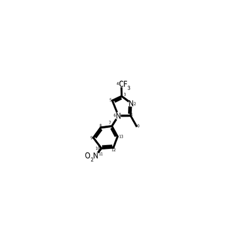 Cc1nc(C(F)(F)F)cn1-c1ccc([N+](=O)[O-])cc1